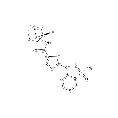 NS(=O)(=O)c1ccccc1Oc1ccc(C(=O)N[C@H]2CN3CCC2CC3)s1